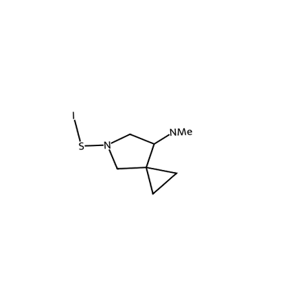 CNC1CN(SI)CC12CC2